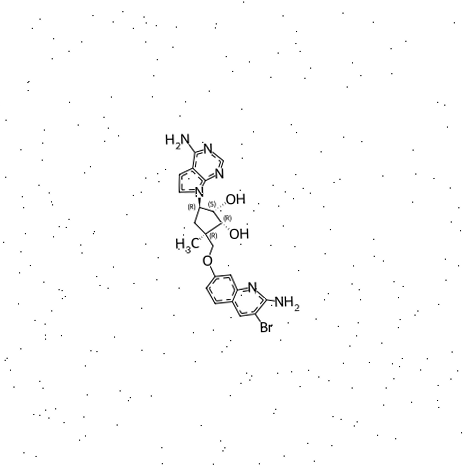 C[C@]1(COc2ccc3cc(Br)c(N)nc3c2)C[C@@H](n2ccc3c(N)ncnc32)[C@H](O)[C@@H]1O